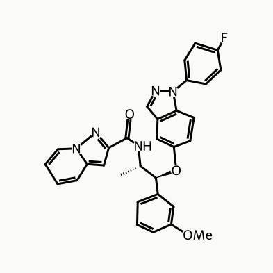 COc1cccc([C@H](Oc2ccc3c(cnn3-c3ccc(F)cc3)c2)[C@H](C)NC(=O)c2cc3ccccn3n2)c1